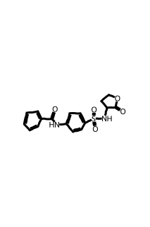 O=C(Nc1ccc(S(=O)(=O)NC2CCOC2=O)cc1)c1ccccc1